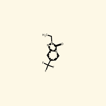 CCn1nc2cc(C(F)(F)F)ccn2c1=O